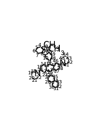 C[Si]1(C)c2ccccc2-c2cc(-c3c4ccc(N5CCCCC5)cc4c(-c4ccc5ccccc5c4)c4ccc(N5CCCCC5)cc34)ccc21